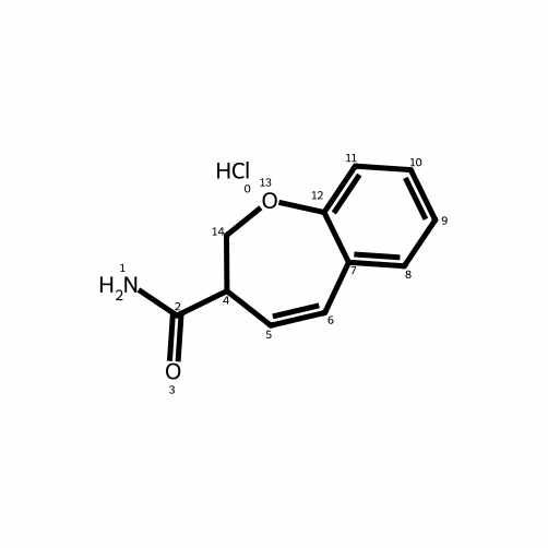 Cl.NC(=O)C1C=Cc2ccccc2OC1